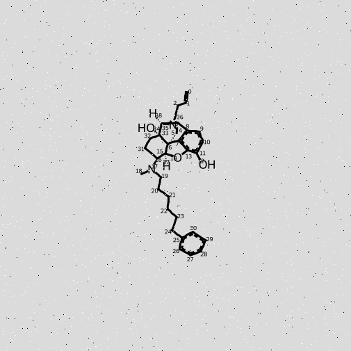 C=CCN1CC[C@]23c4c5ccc(O)c4O[C@H]2[C@@H](N(C)CCCCCCc2ccccc2)CC[C@@]3(O)[C@H]1C5